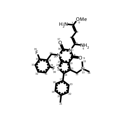 CO/C(N)=C/C=C(\N)n1c(=O)c2c(CN(C)C)c(-c3ccc(C)cc3)sc2n(Cc2c(F)cccc2F)c1=O